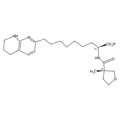 C[C@]1(C(=O)N[C@@H](CCCCCCCc2ccc3c(n2)NCCC3)C(=O)O)CCOC1